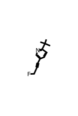 CC(C)(C)c1ccc(C#CCF)cn1